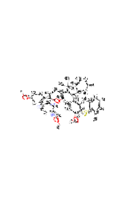 C\C=C/C(=C\C=C\OC)C1(c2ccc(OC)cc2)C=Cc2c3c(c4cc(Sc5c(C)cccc5C)c(OC)cc4c2O1)-c1ccccc1C3(C)C